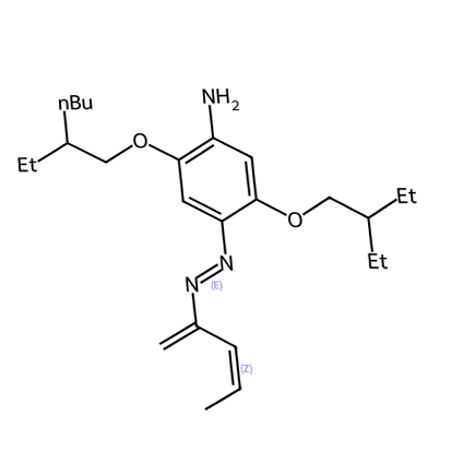 C=C(/C=C\C)/N=N/c1cc(OCC(CC)CCCC)c(N)cc1OCC(CC)CC